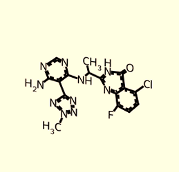 CC(Nc1ncnc(N)c1-c1nnn(C)n1)c1nc2c(F)ccc(Cl)c2c(=O)[nH]1